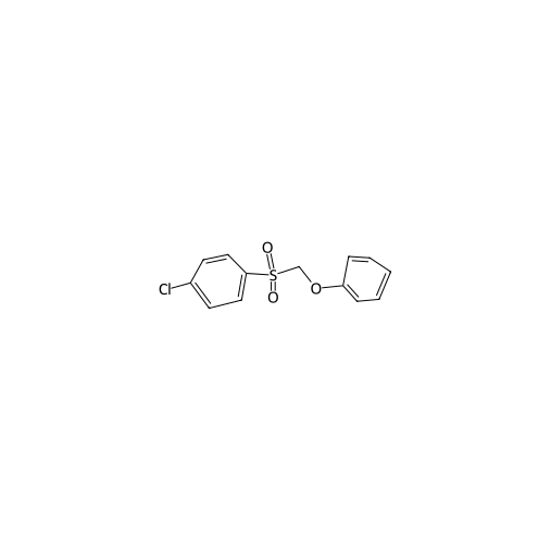 O=S(=O)(COc1ccccc1)c1ccc(Cl)cc1